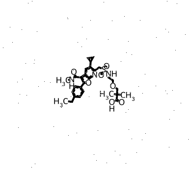 CCc1ccc(-c2oc3nc(CS(=O)(=O)NCCOCC(C)(C)C(=O)O)c(C4CC4)cc3c2C(=O)NC)cc1